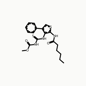 CCCCCC(=O)Nc1scc(-c2ccccc2)c1NC(=S)NC(=O)OC